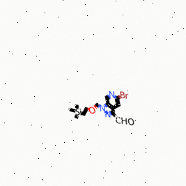 C[Si](C)(C)CCOCn1nc(C=O)c2cc(Br)ncc21